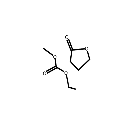 CCOC(=O)OC.O=C1CCCO1